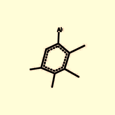 Cc1c[c]([Al])c(C)c(C)c1C